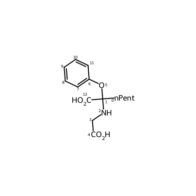 CCCCCC(NCC(=O)O)(Oc1ccccc1)C(=O)O